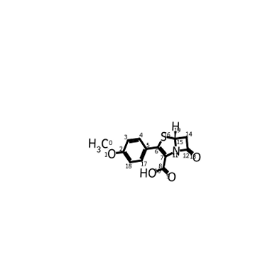 COc1ccc(C2=C(C(=O)O)N3C(=O)C[C@H]3S2)cc1